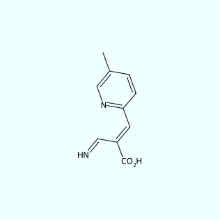 Cc1ccc(/C=C(\C=N)C(=O)O)nc1